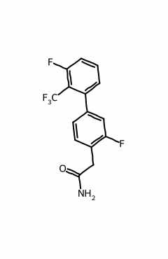 NC(=O)Cc1ccc(-c2cccc(F)c2C(F)(F)F)cc1F